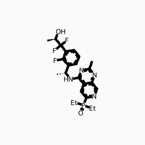 CCP(=O)(CC)c1cc2c(N[C@H](C)c3cccc(C(F)(F)[C@@H](C)O)c3F)nc(C)nc2cn1